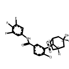 CC(=O)[C@]1(O)CC2C(S(=O)(=O)c3cc(C(=O)Nc4cc(F)c(F)c(F)c4)ccc3Cl)[C@@H](C[C@@H]2C)C1